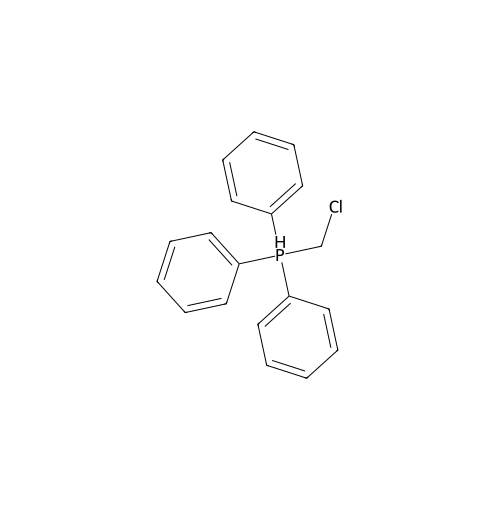 ClC[PH](c1ccccc1)(c1ccccc1)c1ccccc1